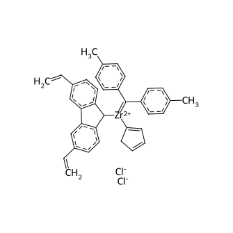 C=Cc1ccc2c(c1)-c1cc(C=C)ccc1[CH]2[Zr+2]([C]1=CC=CC1)=[C](c1ccc(C)cc1)c1ccc(C)cc1.[Cl-].[Cl-]